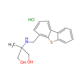 CC(CO)(CO)NCc1cccc2c1sc1ccccc12.Cl